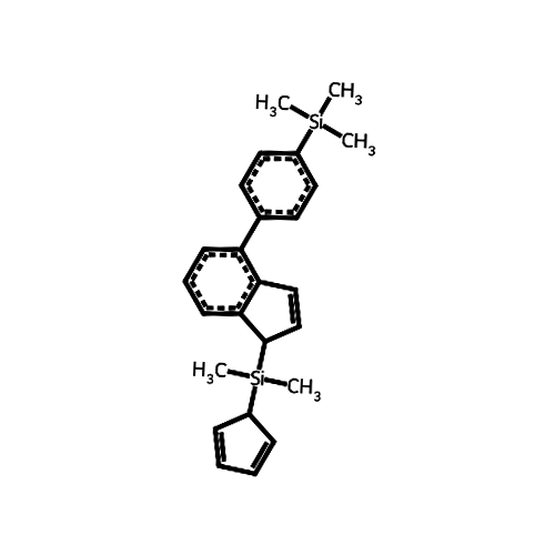 C[Si](C)(C)c1ccc(-c2cccc3c2C=CC3[Si](C)(C)C2C=CC=C2)cc1